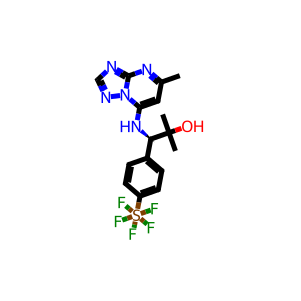 Cc1cc(N[C@H](c2ccc(S(F)(F)(F)(F)F)cc2)C(C)(C)O)n2ncnc2n1